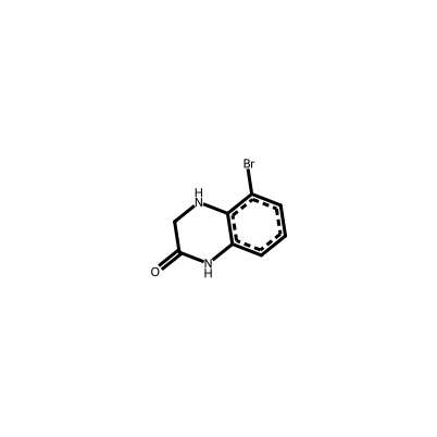 O=C1CNc2c(Br)cccc2N1